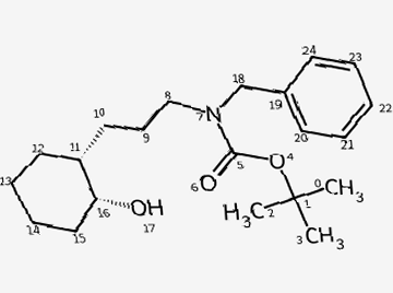 CC(C)(C)OC(=O)N(CCC[C@H]1CCCC[C@H]1O)Cc1ccccc1